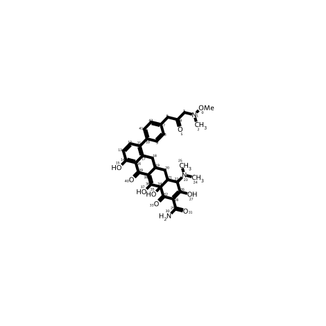 CON(C)CC(=O)Cc1ccc(-c2ccc(O)c3c2CC2CC4C(N(C)C)C(O)=C(C(N)=O)C(=O)C4(O)C(O)=C2C3=O)cc1